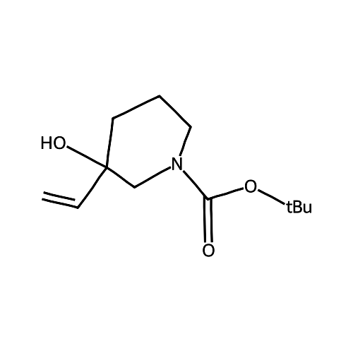 C=CC1(O)CCCN(C(=O)OC(C)(C)C)C1